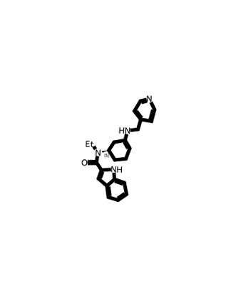 CCN(C(=O)c1cc2ccccc2[nH]1)[C@H]1CCC=C(NCc2ccncc2)C1